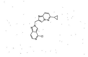 Clc1nccc2nn(Cc3cn4nc(C5CC5)ccc4n3)cc12